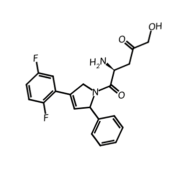 N[C@@H](CC(=O)CO)C(=O)N1CC(c2cc(F)ccc2F)=CC1c1ccccc1